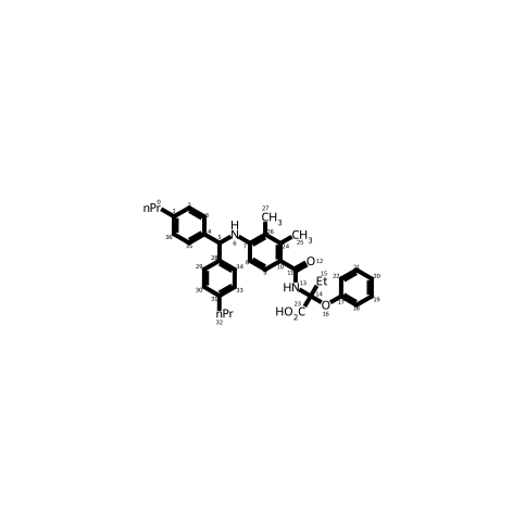 CCCc1ccc(C(Nc2ccc(C(=O)NC(CC)(Oc3ccccc3)C(=O)O)c(C)c2C)c2ccc(CCC)cc2)cc1